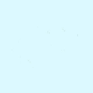 CCOc1cc([N+](=O)[O-])c(C(F)(F)F)cc1C(=O)N1CCN(CC)CC1